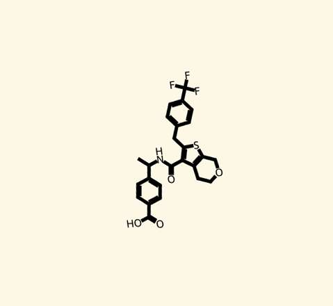 CC(NC(=O)c1c(Cc2ccc(C(F)(F)F)cc2)sc2c1CCOC2)c1ccc(C(=O)O)cc1